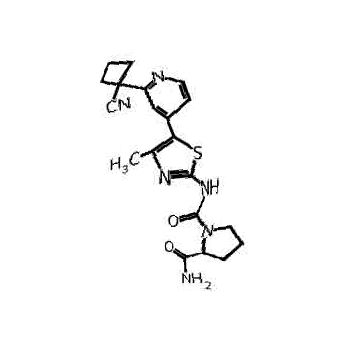 Cc1nc(NC(=O)N2CCC[C@H]2C(N)=O)sc1-c1ccnc(C2(C#N)CCC2)c1